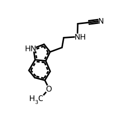 COc1ccc2[nH]cc(CCNCC#N)c2c1